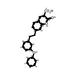 O=C(O)c1cc2ccc(CCc3cccc(Oc4ccccc4)c3)cc2oc1=O